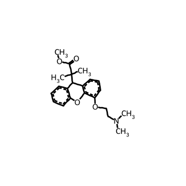 COC(=O)C(C)(C)C1c2ccccc2Oc2c(OCCN(C)C)cccc21